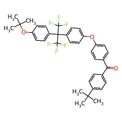 CC(C)(C)Oc1ccc(C(c2ccc(Oc3ccc(C(=O)c4ccc(C(C)(C)C)cc4)cc3)cc2)(C(F)(F)F)C(F)(F)F)cc1